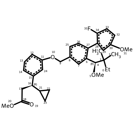 CCC(C)(C)[C@@H](OC)c1cc(COc2cccc([C@H](CC(=O)OC)C3CC3)c2)ccc1-c1cc(OC)ccc1F